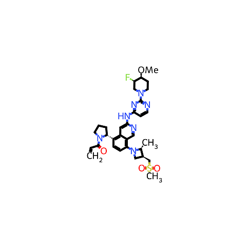 C=CC(=O)N1CCC[C@@H]1c1ccc(N2C[C@H](CS(C)(=O)=O)[C@H]2C)c2cnc(Nc3ccnc(N4CC[C@H](OC)[C@H](F)C4)n3)cc12